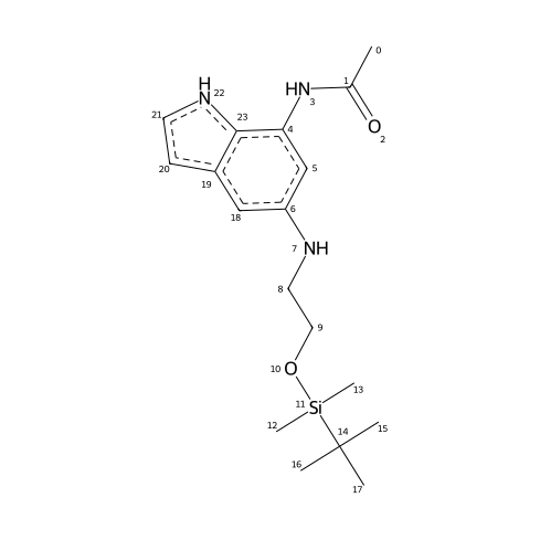 CC(=O)Nc1cc(NCCO[Si](C)(C)C(C)(C)C)cc2cc[nH]c12